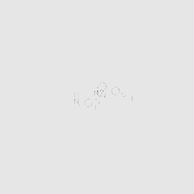 COc1ccc(-c2cccn3nc(Nc4ccc(C(=O)NC5CCCCC5)cc4)nc23)cc1